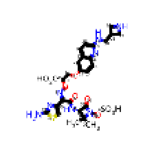 CC1(C)[C@H](NC(=O)/C(=N\O[C@@H](COc2ccc3nc(NCC4CNC4)ccc3c2)C(=O)O)c2csc(N)n2)C(=O)N1OS(=O)(=O)O